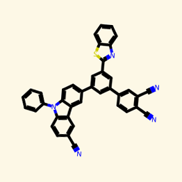 N#Cc1ccc2c(c1)c1cc(-c3cc(-c4ccc(C#N)c(C#N)c4)cc(-c4nc5ccccc5s4)c3)ccc1n2-c1ccccc1